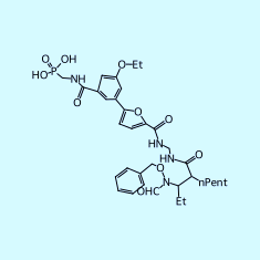 CCCCCC(C(=O)NCNC(=O)c1ccc(-c2cc(OCC)cc(C(=O)NCP(=O)(O)O)c2)o1)C(CC)N(C=O)OCc1ccccc1